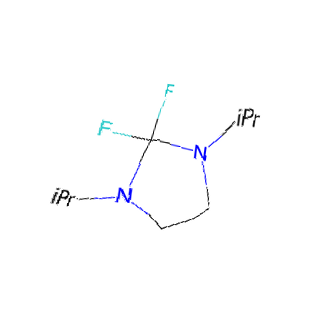 CC(C)N1CCN(C(C)C)C1(F)F